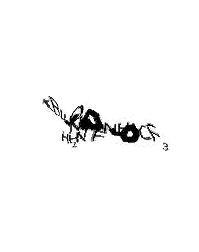 CC(C)(C)CC(=O)Nc1ccc(NCc2ccc(C(F)(F)F)cc2)c(F)c1N